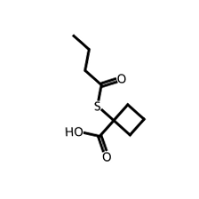 CCCC(=O)SC1(C(=O)O)CCC1